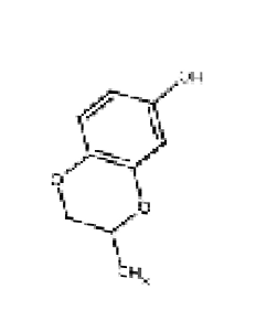 CC1COc2ccc(O)cc2O1